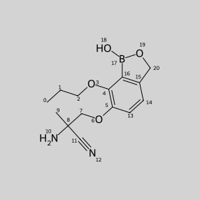 CCCOc1c(OCC(C)(N)C#N)ccc2c1B(O)OC2